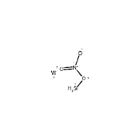 O=[N+]([O-])O[SiH3].[W]